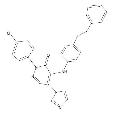 O=c1c(Nc2ccc(CCc3ccccc3)cc2)c(-n2ccnc2)cnn1-c1ccc(Cl)cc1